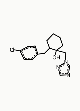 OC1(Cn2cncn2)CCCCC1Cc1ccc(Cl)cc1